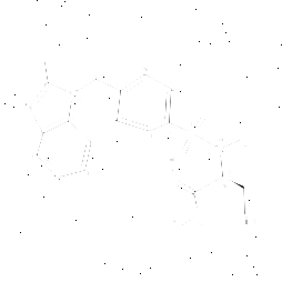 Cc1nc2cnccc2n1Cc1ccc(S(=O)(=O)N(C)[C@@H](CC(C)C)C(=O)OC=O)cc1